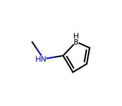 CNC1=CC=CB1